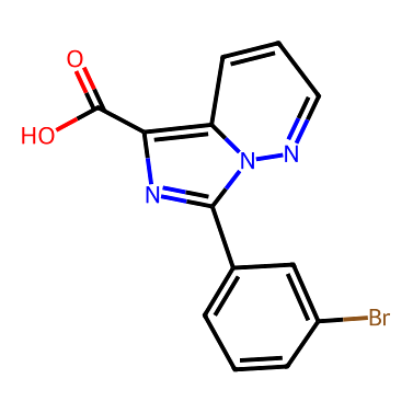 O=C(O)c1nc(-c2cccc(Br)c2)n2ncccc12